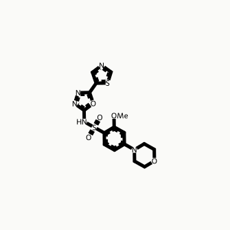 COc1cc(N2CCOCC2)ccc1S(=O)(=O)Nc1nnc(-c2cncs2)o1